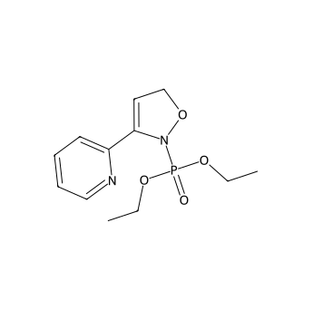 CCOP(=O)(OCC)N1OCC=C1c1ccccn1